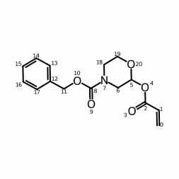 C=CC(=O)OC1CN(C(=O)OCc2ccccc2)CCO1